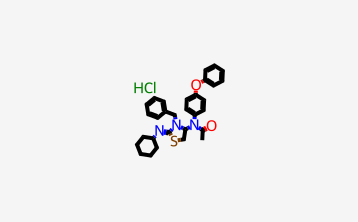 CC(=O)N(c1ccc(Oc2ccccc2)cc1)C1CSC(=NC2CCCCC2)N1Cc1ccccc1.Cl